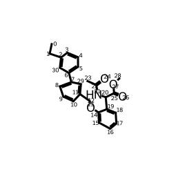 CCc1cccc(-c2cccc(COc3ccccc3C(NC(C)=O)C(=O)OC)c2)c1